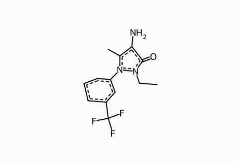 CCn1c(=O)c(N)c(C)n1-c1cccc(C(F)(F)F)c1